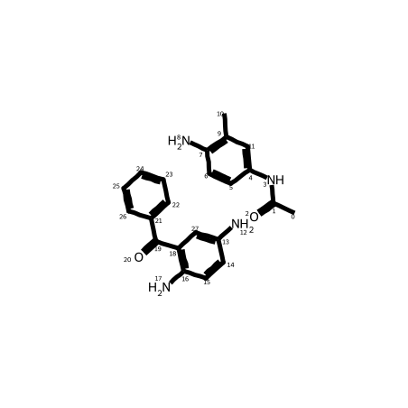 CC(=O)Nc1ccc(N)c(C)c1.Nc1ccc(N)c(C(=O)c2ccccc2)c1